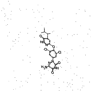 CC(C)C(C)c1cc(Oc2c(Cl)cc(-n3nc(N)c(=O)[nH]c3=O)cc2Cl)n[nH]c1=O